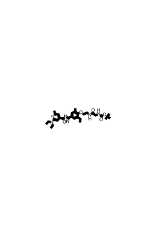 CCc1cc(-c2noc(-c3cc(C)nc(N(CC)CC)c3)n2)cc(C)c1OCCNC(=O)CNC(=O)OC(C)(C)C